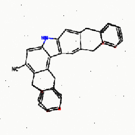 N#Cc1cc2[nH]c3cc4c(cc3c2c2c1C1c3ccccc3C2c2ccccc21)C1c2ccccc2C4c2ccccc21